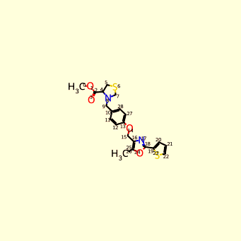 COC(=O)C1CSCN1Cc1ccc(OCc2nc(-c3cccs3)oc2C)cc1